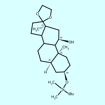 CC(C)(C)[Si](C)(C)O[C@@H]1CC[C@]2(C)C3C(CC[C@@H]2C1)C1CCC2(OCCO2)[C@@]1(C)C[C@H]3O